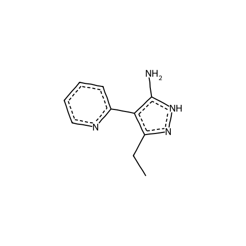 CCc1n[nH]c(N)c1-c1ccccn1